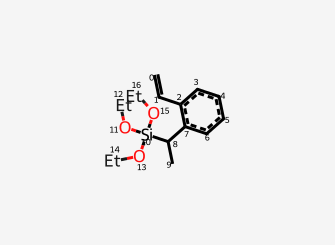 C=Cc1ccccc1C(C)[Si](OCC)(OCC)OCC